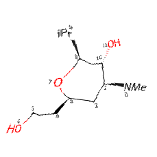 CN[C@H]1C[C@@H](CCO)O[C@@H](C(C)C)[C@@H]1O